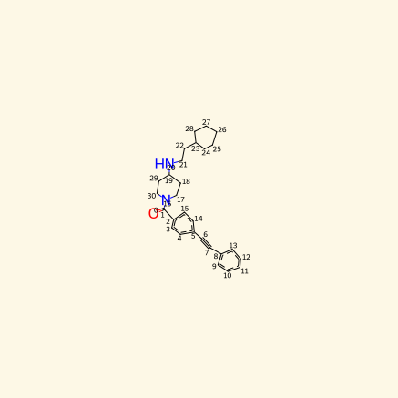 O=C(c1ccc(C#Cc2ccccc2)cc1)N1CCC(NCCC2CCCCC2)CC1